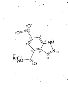 O=C(O)c1cc([N+](=O)[O-])cc2[nH]nnc12.[Ag+]